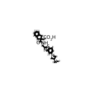 CN(C)C1CN(c2ccc3sc(CNC(=O)C4(CC(=O)O)Cc5ccccc5C4)nc3c2)C1